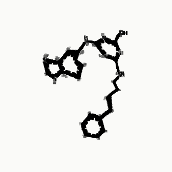 Oc1nc(NCCCCc2ccccc2)nc(Nc2ccc3ncsc3c2)n1